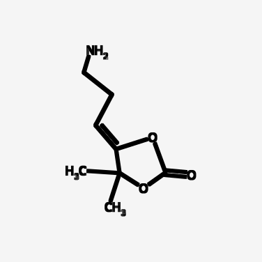 CC1(C)OC(=O)OC1=CCCN